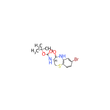 CC(C)(C)OC(=O)N[C@H]1CSc2ccc(Br)cc2NC1=O